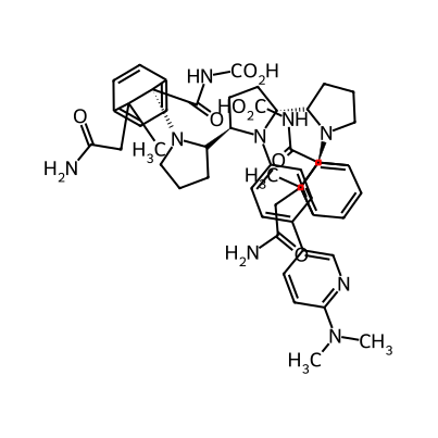 CN(C)c1ccc(-c2ccc(N3[C@@H](C4CCCN4[C@@]4(C(=O)NC(=O)O)c5ccc(cc5)C4(C)CC(N)=O)CC[C@@H]3C3CCCN3[C@@]3(C(=O)NC(=O)O)c4ccc(cc4)C3(C)CC(N)=O)cc2)cn1